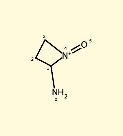 NC1CC[N+]1=O